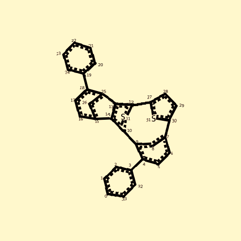 c1ccc(-c2ccc3cc2-c2sc(c4c2-c2ccc(-c5ccccc5)c-4c2)-c2ccc-3s2)cc1